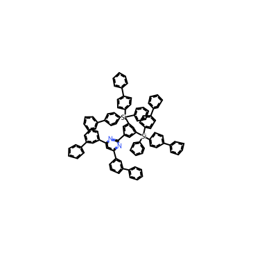 c1ccc(-c2ccc([Si](c3ccccc3)(c3ccc(-c4ccccc4)cc3)c3cc(-c4nc(-c5cccc(-c6ccccc6)c5)cc(-c5cccc(-c6ccccc6)c5)n4)cc([Si](c4ccccc4)(c4ccc(-c5ccccc5)cc4)c4ccc(-c5ccccc5)cc4)c3)cc2)cc1